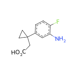 Nc1cc(C2(CC(=O)O)CC2)ccc1F